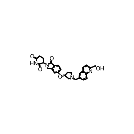 O=C1CCC(N2Cc3cc(O[C@H]4CCN(Cc5ccc6nc(CO)ccc6c5)C4)ccc3C2=O)C(=O)N1